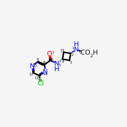 O=C(O)N[C@H]1C[C@H](NC(=O)c2cncc(Cl)n2)C1